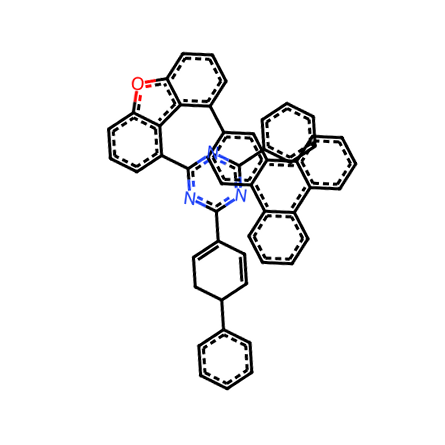 C1=CC(c2ccccc2)CC=C1c1nc(-c2ccccc2)nc(-c2cccc3oc4cccc(-c5ccc6c7ccccc7c7ccccc7c6c5)c4c23)n1